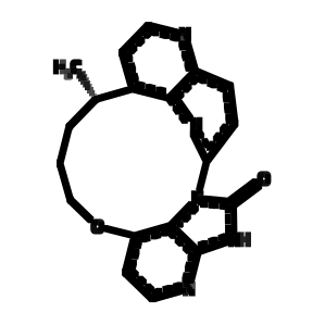 C[C@H]1CCCOc2ccnc3[nH]c(=O)n(c23)-c2ccc3nccc1c3n2